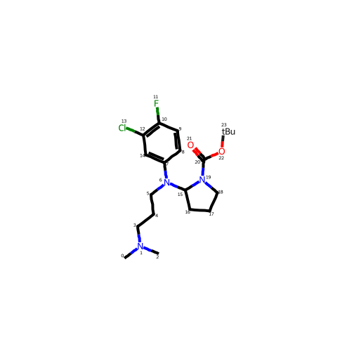 CN(C)CCCN(c1ccc(F)c(Cl)c1)C1CCCN1C(=O)OC(C)(C)C